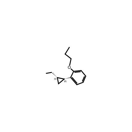 CCCOc1ccccc1[C@@H]1C[C@@H]1CC